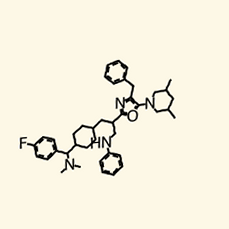 CC1CC(C)CN(c2oc(C(CNc3ccccc3)CC3CCC(C(c4ccc(F)cc4)N(C)C)CC3)nc2Cc2ccccc2)C1